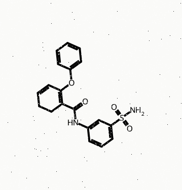 NS(=O)(=O)c1cccc(NC(=O)C2=C(Oc3ccccc3)C=CCC2)c1